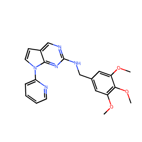 COc1cc(CNc2ncc3ccn(-c4ccccn4)c3n2)cc(OC)c1OC